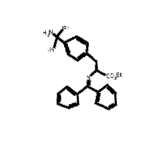 CCOC(=O)C(Cc1ccc(C(N)(C(C)C)C(C)C)cc1)N=C(c1ccccc1)c1ccccc1